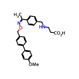 COc1ccc(-c2ccc(CO/N=C(/C)c3ccc(CNCCC(=O)O)cc3)cc2)cc1